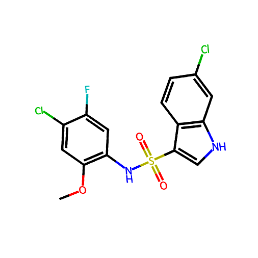 COc1cc(Cl)c(F)cc1NS(=O)(=O)c1c[nH]c2cc(Cl)ccc12